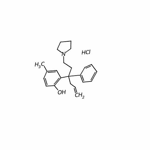 C=CCC(CCN1CCCC1)(c1ccccc1)c1cc(C)ccc1O.Cl